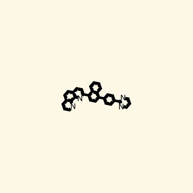 c1cnc(-c2ccc(-c3ccc(-c4ccc5ccc6cccnc6c5n4)c4ccccc34)cc2)nc1